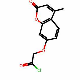 Cc1cc(=O)oc2cc(OCC(=O)Cl)ccc12